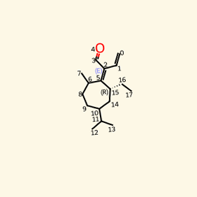 C=C/C(C=O)=C1/C(C)CCC(C(C)C)C[C@H]1CC